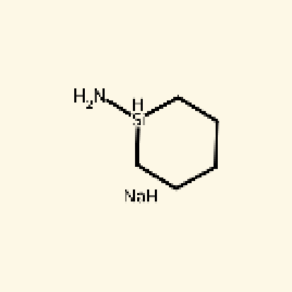 N[SiH]1CCCCC1.[NaH]